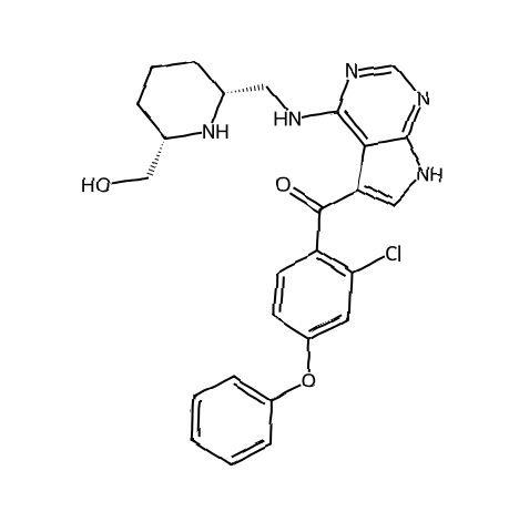 O=C(c1ccc(Oc2ccccc2)cc1Cl)c1c[nH]c2ncnc(NC[C@H]3CCC[C@@H](CO)N3)c12